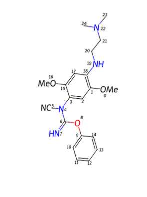 COc1cc(N(C#N)C(=N)Oc2ccccc2)c(OC)cc1NCCN(C)C